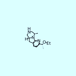 CCO[C@H](C)c1ccc2c(n1)N1[C@@H](CNC[C@H]1C)C2